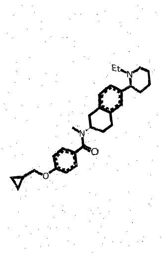 CCN1CCCCC1c1ccc2c(c1)CC[C@H](N(C)C(=O)c1ccc(OCC3CC3)cc1)C2